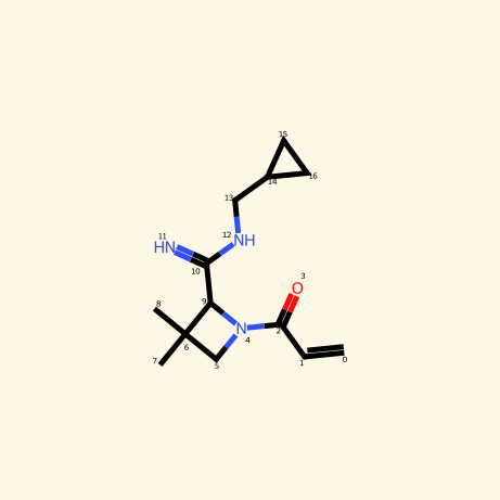 C=CC(=O)N1CC(C)(C)C1C(=N)NCC1CC1